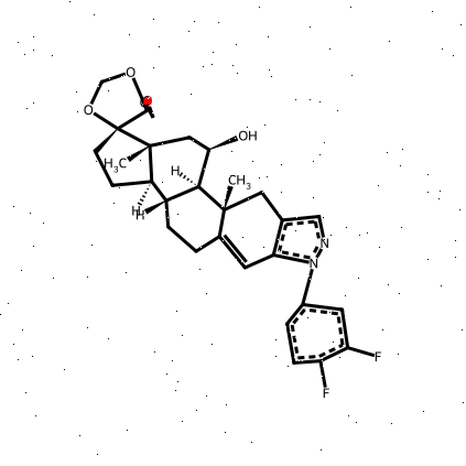 C[C@@]12Cc3cnn(-c4ccc(F)c(F)c4)c3C=C1CC[C@H]1[C@H]2[C@H](O)C[C@]2(C)[C@@H]1CC[C@]21OCOC12COCO2